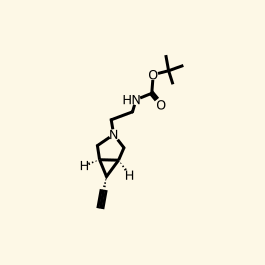 C#C[C@@H]1[C@H]2CN(CCNC(=O)OC(C)(C)C)C[C@@H]12